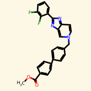 COC(=O)c1ccc(-c2ccc(Cn3ccc4nc(-c5cccc(F)c5F)nc-4c3)cc2)cc1